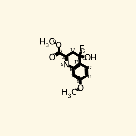 COC(=O)C1=Nc2cc(OC)ccc2C(O)(F)C1